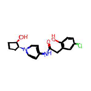 O=C(Cc1cc(Cl)ccc1O)NC1=CCN([C@H]2CCC[C@H]2O)C=C1